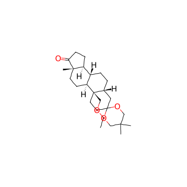 CCOC[C@]12CCC3(C[C@H]1CC[C@@H]1[C@@H]2CC[C@]2(C)C(=O)CC[C@@H]12)OCC(C)(C)CO3